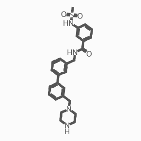 CS(=O)(=O)Nc1cccc(C(=O)NCc2cccc(-c3cccc(CN4CCNCC4)c3)c2)c1